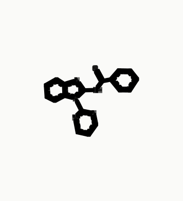 O=C(Nc1nc2ccccc2n1-c1ncccn1)c1ccccc1